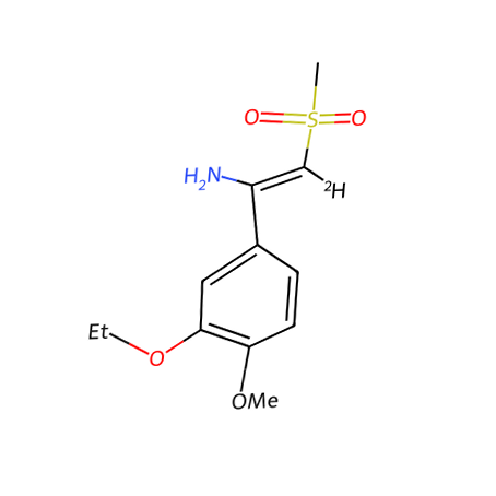 [2H]C(=C(N)c1ccc(OC)c(OCC)c1)S(C)(=O)=O